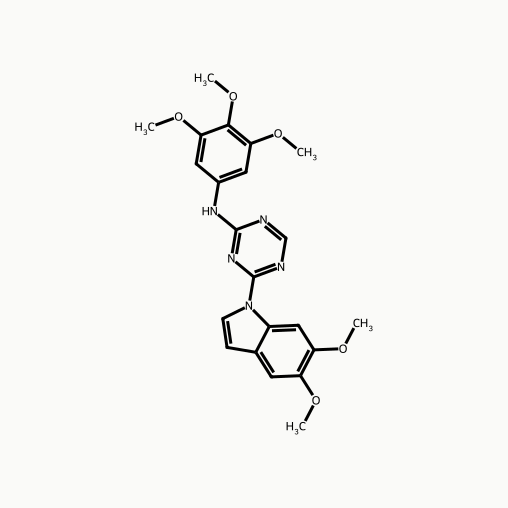 COc1cc2ccn(-c3ncnc(Nc4cc(OC)c(OC)c(OC)c4)n3)c2cc1OC